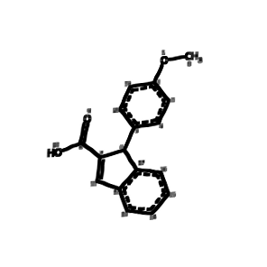 COc1ccc(C2C(C(=O)O)=Cc3ccccc32)cc1